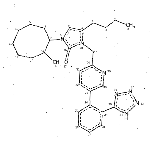 CCCCc1cn(C2CCCCCCC2C)c(=O)n1Cc1ccc(-c2ccccc2-c2nnn[nH]2)cn1